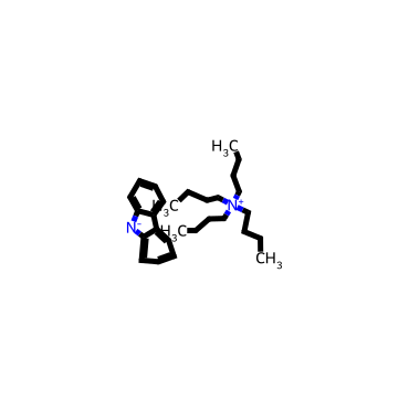 CCCC[N+](CCCC)(CCCC)CCCC.c1ccc2c(c1)[n-]c1ccccc12